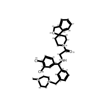 CN1CCN(Cc2cccc(C(NCC(=O)N3CCC4(CC3)OCc3ccccc34)c3ccc(Cl)c(Cl)c3)c2)CC1